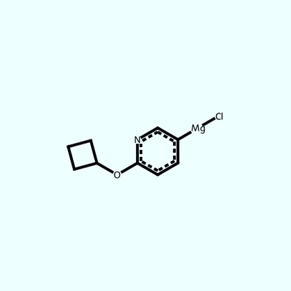 [Cl][Mg][c]1ccc(OC2CCC2)nc1